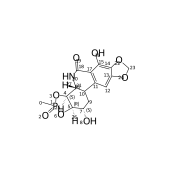 CP1(=O)O[C@@H]2[C@H](O1)[C@@H](O)CC1c3cc4c(c(O)c3C(=O)N[C@H]12)OCO4